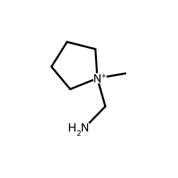 C[N+]1(CN)CCCC1